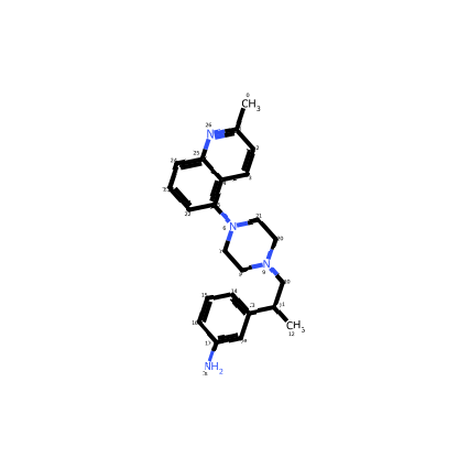 Cc1ccc2c(N3CCN(CC(C)c4cccc(N)c4)CC3)cccc2n1